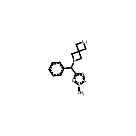 Cn1nnc(C(c2ccccc2)N2CC3(CNC3)C2)n1